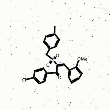 COc1ccccc1/C=C(\C(=O)c1ccc(Cl)cc1)S(=O)(=O)Cc1ccc(C)cc1